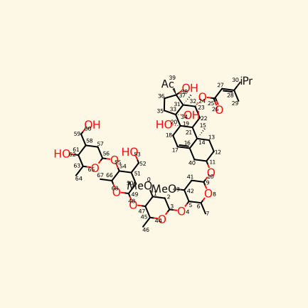 COC1CC(OC2C(C)OC(OC3CC[C@@]4(C)C(=CC[C@]5(O)C4C[C@@H](OC(=O)/C=C(\C)C(C)C)[C@@]4(C)[C@]5(O)CC[C@@]4(O)C(C)=O)C3)CC2OC)OC(C)C1OC1CC(CO)C(OC2CC(CO)C(O)C(C)O2)C(C)O1